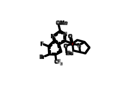 COc1nc(N2CC3CCC(C2)N3C(=O)OC(C)(C)C)c2cc(C(F)(F)F)c(Br)c(F)c2n1